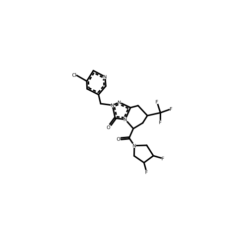 O=C(C1CC(C(F)(F)F)Cc2nn(Cc3cncc(Cl)c3)c(=O)n21)N1CC(F)C(F)C1